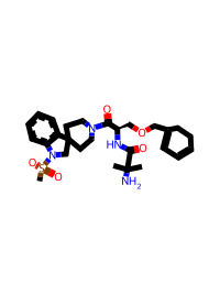 CC(C)(N)C(=O)N[C@H](COCC1=CC=CCC1)C(=O)N1CCC2(CC1)CN(S(C)(=O)=O)c1ccccc12